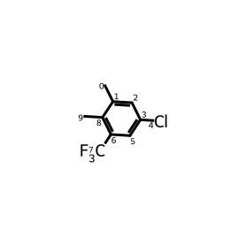 Cc1cc(Cl)cc(C(F)(F)F)c1C